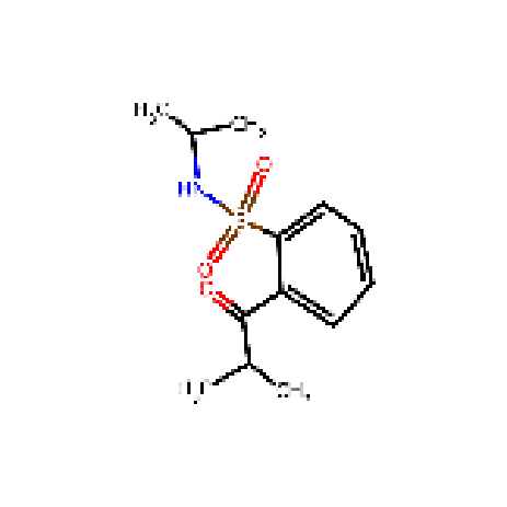 CC(C)NS(=O)(=O)c1ccccc1C(=O)C(C)C